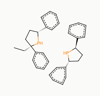 CC[C@]1(c2ccccc2)CC[C@H](c2ccccc2)P1.c1ccc([C@H]2CC[C@H](c3ccccc3)P2)cc1